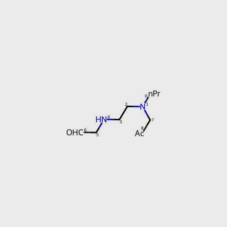 CCCN(CCNCC=O)CC(C)=O